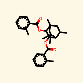 Cc1ccccc1C(=O)OC1C2C(C)CC(C)(CC2(C)C)C1OC(=O)c1ccccc1C